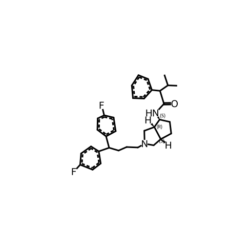 CC(C)C(C(=O)N[C@H]1CC[C@@H]2CN(CCCC(c3ccc(F)cc3)c3ccc(F)cc3)C[C@@H]21)c1ccccc1